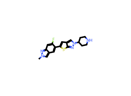 Cn1cc2cc(-c3cc4cn(C5CCNCC5)nc4s3)c(F)cc2n1